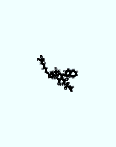 O=C1NC(c2cnn(CC/C=C/CC(F)(F)F)c2)(C(F)(F)F)CC(c2ccc3c(c2)CCCC3)=C1C(=O)NS(=O)(=O)C1CC1